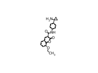 CCOc1cccc2cc(C(=O)Nc3ccc(C4(N)CC4)cc3)c(=O)oc12